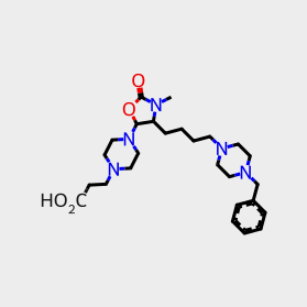 CN1C(=O)OC(N2CCN(CCC(=O)O)CC2)C1CCCCN1CCN(Cc2ccccc2)CC1